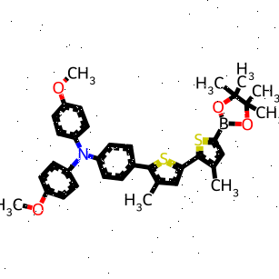 COc1ccc(N(c2ccc(OC)cc2)c2ccc(-c3sc(-c4sc(B5OC(C)(C)C(C)(C)O5)cc4C)cc3C)cc2)cc1